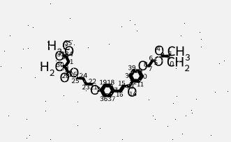 C=C(C)C(=O)OCCOc1ccc(C(=O)/C=C/c2ccc(OCCCCOC(=O)C(=C)CC(=O)OC)cc2)cc1